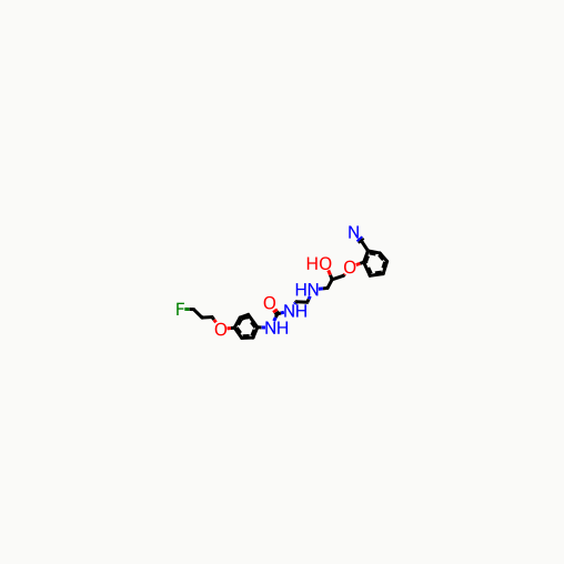 N#Cc1ccccc1OCC(O)CNCCNC(=O)Nc1ccc(OCCCF)cc1